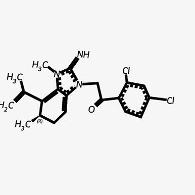 C=C(C)C1=c2c(n(CC(=O)c3ccc(Cl)cc3Cl)c(=N)n2C)=CC[C@H]1C